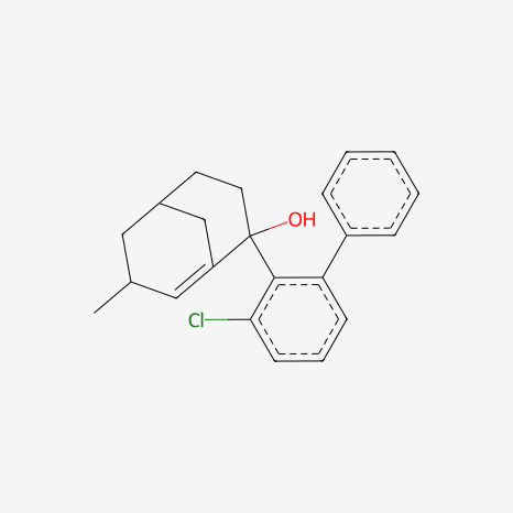 CC1C=C2CC(CCC2(O)c2c(Cl)cccc2-c2ccccc2)C1